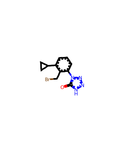 O=c1[nH]nnn1-c1cccc(C2CC2)c1CBr